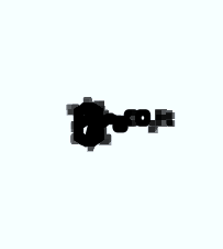 CCOC(=O)OCC12CC3CC(CC(C3)C1)C2